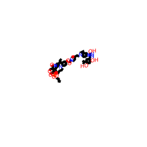 CCCCOP(=O)(OCCCC)OC1(CC)C(=O)OCc2c1cc1n(c2=O)Cc2c-1nc1ccc(OC(=O)N3CCC(CCn4ccc5cc(-n6c(O)nnc6-c6cc(C(C)C)c(O)cc6O)ccc54)CC3)cc1c2CC